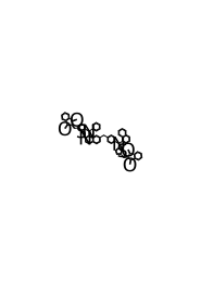 O=C1C(=Cc2ccc(N(c3ccc(Cc4ccc5ccnc(N(c6ccccc6)c6ccc(C=C7C(=O)c8ccccc8C7=O)s6)c5c4)cc3)c3cccc4ccccc34)s2)C(=O)c2ccccc21